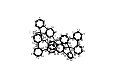 CC1(C)c2ccccc2-c2ccc(N(c3ccc4c(c3)C3(c5ccccc5-c5ccccc5-4)c4ccccc4-c4cc5ccccc5cc43)c3cccc4c3Oc3ccccc3-c3ccccc3-4)cc21